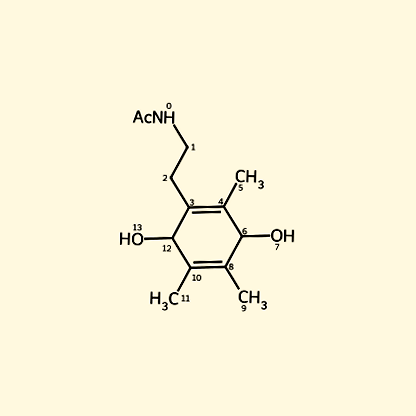 CC(=O)NCCC1=C(C)C(O)C(C)=C(C)C1O